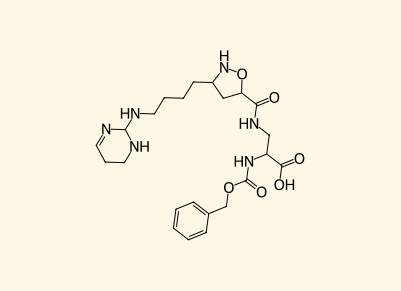 O=C(NC(CNC(=O)C1CC(CCCCNC2N=CCCN2)NO1)C(=O)O)OCc1ccccc1